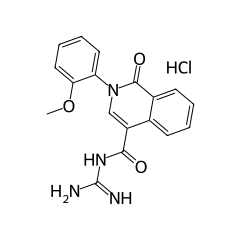 COc1ccccc1-n1cc(C(=O)NC(=N)N)c2ccccc2c1=O.Cl